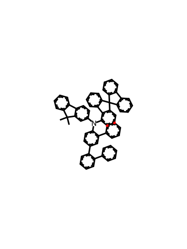 CC1(C)c2ccccc2-c2ccc(N(c3ccc(-c4ccccc4-c4ccccc4)cc3-c3ccccc3)c3cccc4c3-c3ccccc3C43c4ccccc4-c4ccccc43)cc21